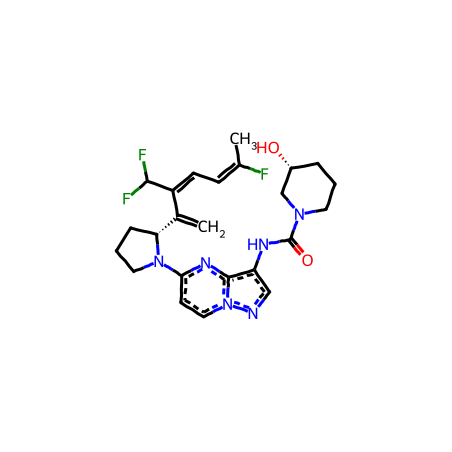 C=C(/C(=C\C=C(/C)F)C(F)F)[C@H]1CCCN1c1ccn2ncc(NC(=O)N3CCC[C@@H](O)C3)c2n1